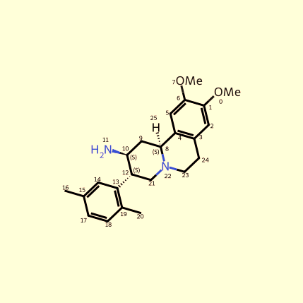 COc1cc2c(cc1OC)[C@@H]1C[C@H](N)[C@@H](c3cc(C)ccc3C)CN1CC2